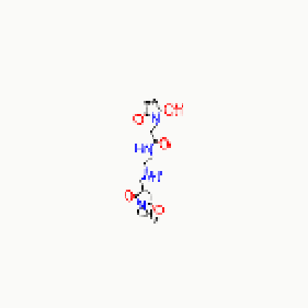 CN1C(=O)CC(CNCCNC(=O)CCN2C(=O)C=CC2O)C1=O